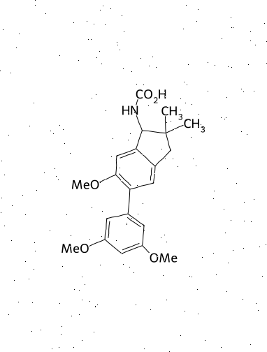 COc1cc(OC)cc(-c2cc3c(cc2OC)C(NC(=O)O)C(C)(C)C3)c1